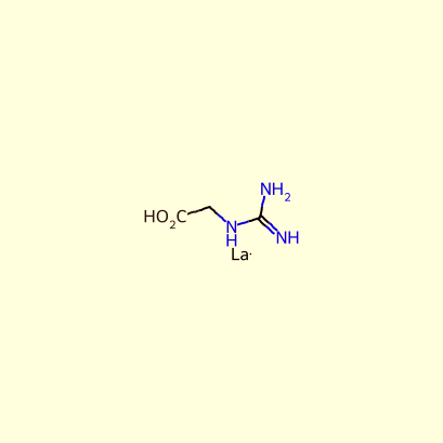 N=C(N)NCC(=O)O.[La]